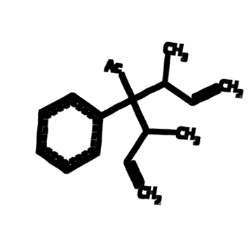 C=CC(C)C(C(C)=O)(c1ccccc1)C(C)C=C